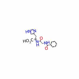 O=C(CNC(=O)c1ccccc1)N[C@@H](Cc1c[nH]cn1)C(=O)O